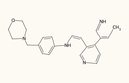 C/C=C(\C=N)c1ccncc1/C=C\Nc1ccc(CN2CCOCC2)cc1